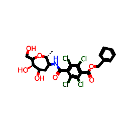 C[C@H]1OC(CO)[C@H](O)C(O)CC1NC(=O)c1c(Cl)c(Cl)c(C(=O)OCc2ccccc2)c(Cl)c1Cl